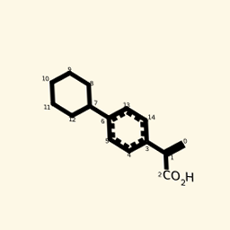 C=C(C(=O)O)c1ccc(C2CCCCC2)cc1